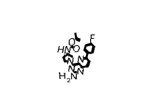 C=C(C)OC(=O)N[C@H]1CCN(c2nc(N)nc3ccc(-c4ccc(F)cc4)nc23)C1